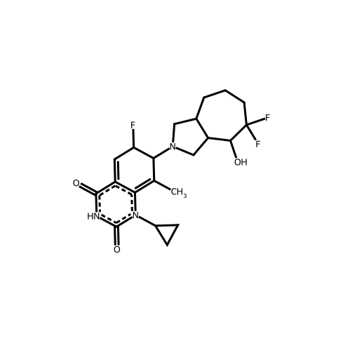 CC1=c2c(c(=O)[nH]c(=O)n2C2CC2)=CC(F)C1N1CC2CCCC(F)(F)C(O)C2C1